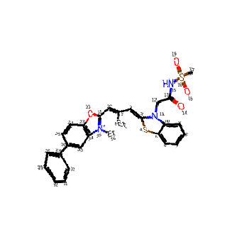 CCC(/C=C1\Sc2ccccc2N1CC(=O)NS(C)(=O)=O)=C\c1oc2ccc(-c3ccccc3)cc2[n+]1CC